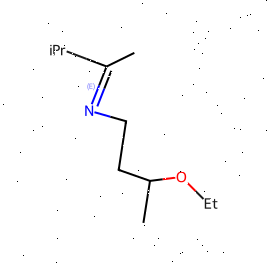 CCOC(C)CC/N=C(\C)C(C)C